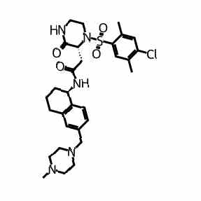 Cc1cc(S(=O)(=O)N2CCNC(=O)[C@H]2CC(=O)N[C@@H]2CCCc3cc(CN4CCN(C)CC4)ccc32)c(C)cc1Cl